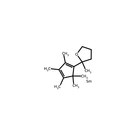 CC1=C(C)C(C)(C)C(C2(C)CCCO2)=C1C.[Sm]